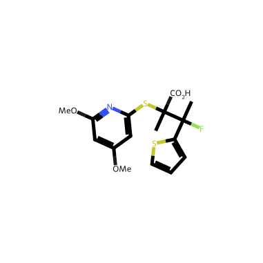 COc1cc(OC)nc(SC(C)(C(=O)O)C(C)(F)c2cccs2)c1